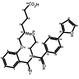 [2H]C(c1ccccc1OCCCCCC(=O)O)N(CCOC)C(=O)c1ccc(-c2ccco2)cc1